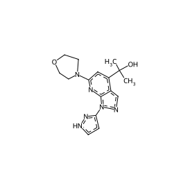 CC(C)(O)c1cc(N2CCOCC2)nc2c1cnn2-c1cc[nH]n1